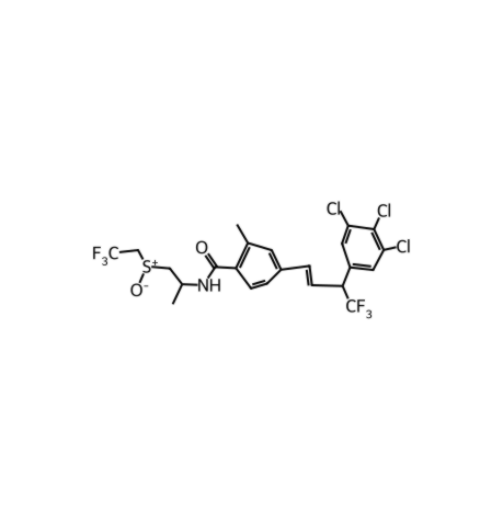 Cc1cc(/C=C/C(c2cc(Cl)c(Cl)c(Cl)c2)C(F)(F)F)ccc1C(=O)NC(C)C[S+]([O-])CC(F)(F)F